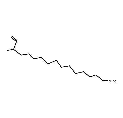 C=CC(C)CCCCCCCCCCCCCCCCCCCCCCC